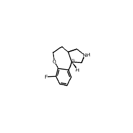 Fc1cccc2c1OCCC1CNC[C@H]21